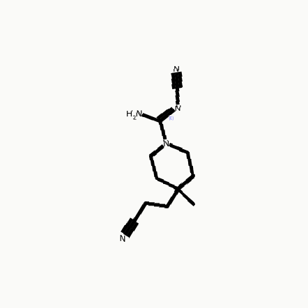 CC1(CCC#N)CCN(/C(N)=N/C#N)CC1